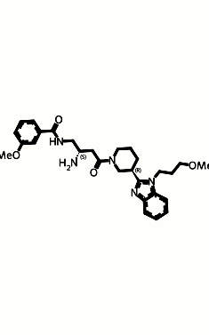 COCCCn1c([C@@H]2CCCN(C(=O)C[C@H](N)CNC(=O)c3cccc(OC)c3)C2)nc2ccccc21